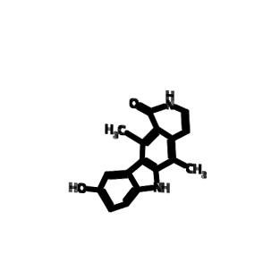 Cc1c2cc[nH]c(=O)c2c(C)c2c1[nH]c1ccc(O)cc12